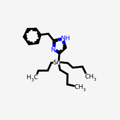 CCC[CH2][Sn]([CH2]CCC)([CH2]CCC)[c]1c[nH]c(Cc2ccccc2)n1